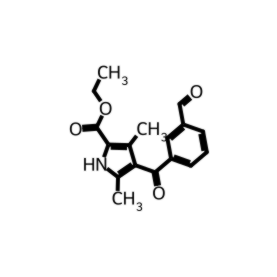 CCOC(=O)c1[nH]c(C)c(C(=O)c2cccc(C=O)c2)c1C